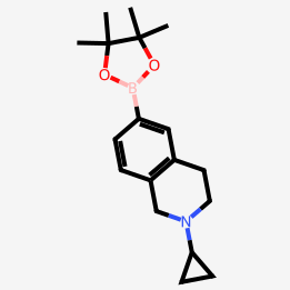 CC1(C)OB(c2ccc3c(c2)CCN(C2CC2)C3)OC1(C)C